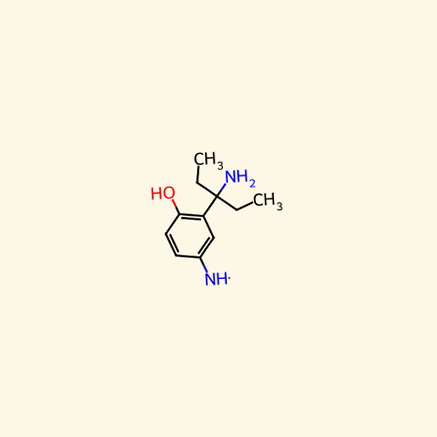 CCC(N)(CC)c1cc([NH])ccc1O